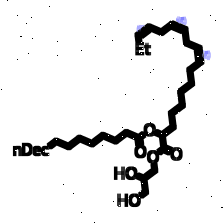 CC/C=C\C/C=C\C/C=C\CCCCCCC(OC(=O)CCCCCCCCCCCCCCCCC)C(=O)OCC(O)CO